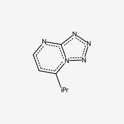 CC(C)c1ccnc2nnnn12